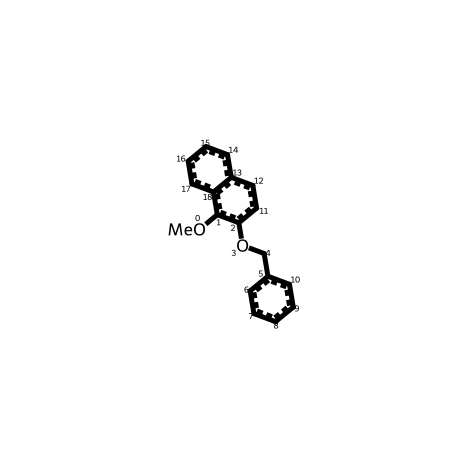 COc1c(OCc2ccccc2)ccc2ccccc12